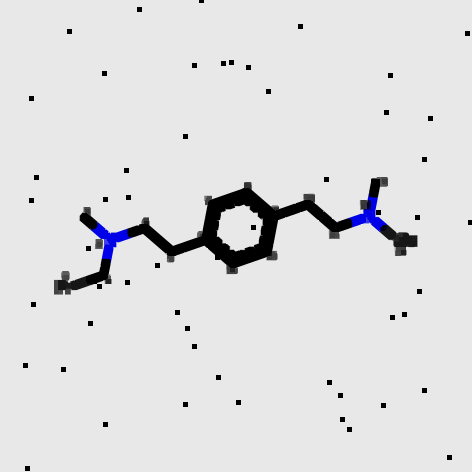 CC(C)CN(C)CCc1ccc(CCN(C)C(C)(C)C)cc1